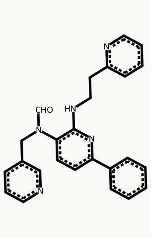 O=CN(Cc1cccnc1)c1ccc(-c2ccccc2)nc1NCCc1ccccn1